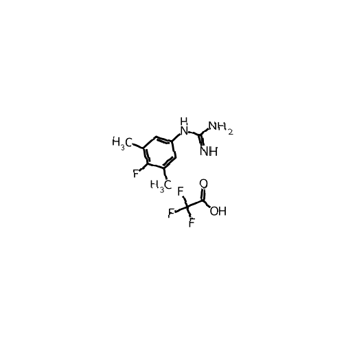 Cc1cc(NC(=N)N)cc(C)c1F.O=C(O)C(F)(F)F